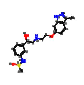 CCc1n[nH]c2cc(OCCNC[C@H](O)c3cccc(N[S+]([O-])CC)c3)ccc12